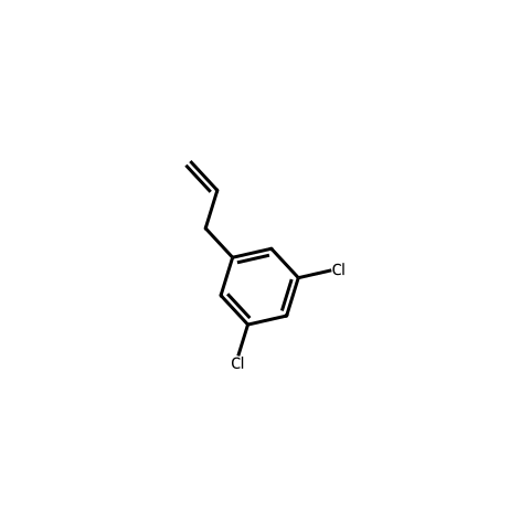 C=CCc1cc(Cl)cc(Cl)c1